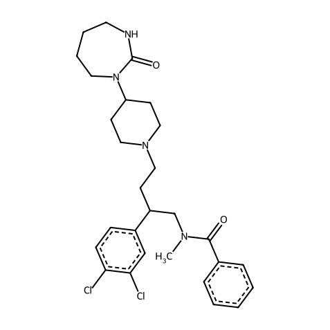 CN(CC(CCN1CCC(N2CCCCNC2=O)CC1)c1ccc(Cl)c(Cl)c1)C(=O)c1ccccc1